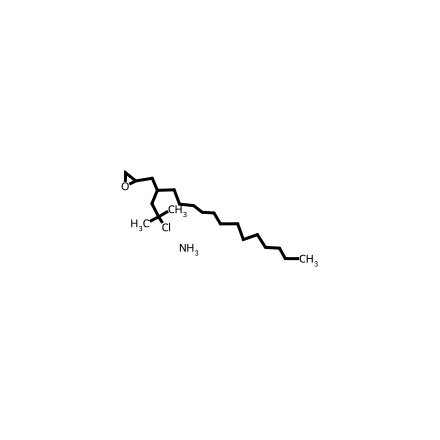 CCCCCCCCCCCCCC(CC1CO1)CC(C)(C)Cl.N